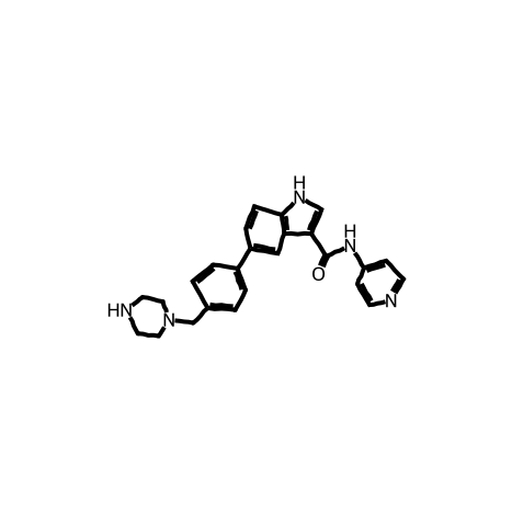 O=C(Nc1ccncc1)c1c[nH]c2ccc(-c3ccc(CN4CCNCC4)cc3)cc12